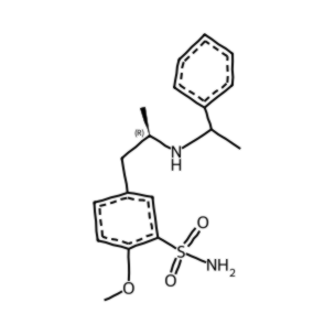 COc1ccc(C[C@@H](C)NC(C)c2ccccc2)cc1S(N)(=O)=O